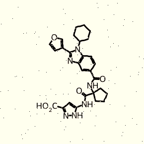 O=C(NC1(C(=O)Nc2cc(C(=O)O)n[nH]2)CCCC1)c1ccc2c(c1)nc(-c1ccoc1)n2C1CCCCC1